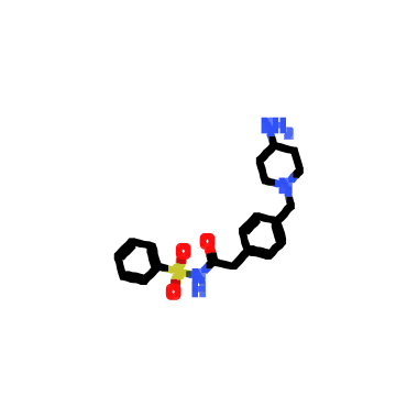 NC1CCN(Cc2ccc(CC(=O)NS(=O)(=O)c3ccccc3)cc2)CC1